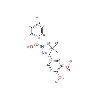 COc1ccc(C2=NN(C(=O)c3ccc(C)cc3)CC2(C)C)cc1OC